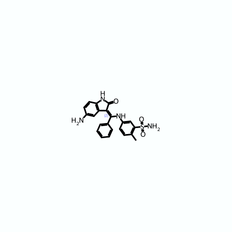 Cc1ccc(N/C(=C2\C(=O)Nc3ccc(N)cc32)c2ccccc2)cc1S(N)(=O)=O